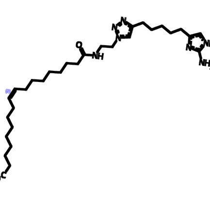 CCCCCCCC/C=C\CCCCCCCC(=O)NCCn1cc(CCCCCc2c[nH]c(N)n2)nn1